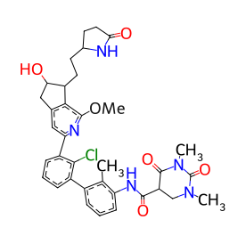 COc1nc(-c2cccc(-c3cccc(NC(=O)C4CN(C)C(=O)N(C)C4=O)c3C)c2Cl)cc2c1C(CCC1CCC(=O)N1)C(O)C2